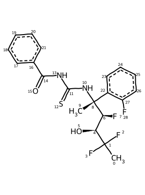 CC(F)(F)[C@@H](O)[C@H](F)[C@](C)(NC(=S)NC(=O)c1ccccc1)c1ccccc1F